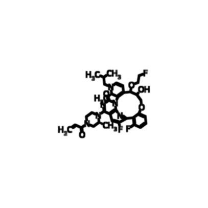 C=CC(=O)N1CCN(c2nc(=O)n3c4nc(c(F)cc24)-c2c(F)cccc2OCC(O)C(OCCF)C2=C3[C@@H](C)N(CC(C)C)C=C2)[C@@H](C)C1